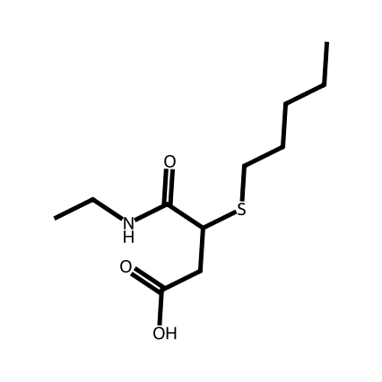 CCCCCSC(CC(=O)O)C(=O)NCC